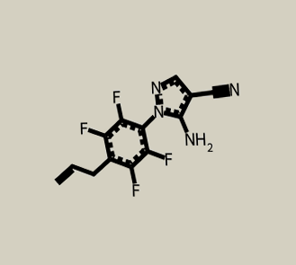 C=CCc1c(F)c(F)c(-n2ncc(C#N)c2N)c(F)c1F